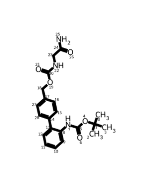 CC(C)(C)OC(=O)Nc1ccccc1-c1ccc(COC(=O)NCC(N)=O)cc1